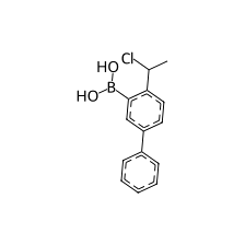 CC(Cl)c1ccc(-c2ccccc2)cc1B(O)O